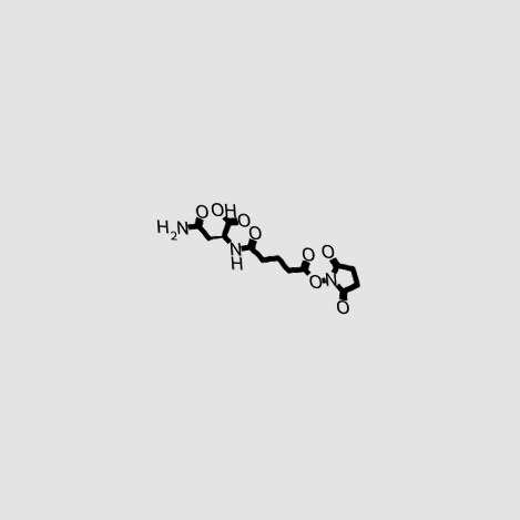 NC(=O)C[C@H](NC(=O)CCCC(=O)ON1C(=O)CCC1=O)C(=O)O